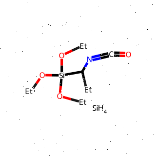 CCO[Si](OCC)(OCC)C(CC)N=C=O.[SiH4]